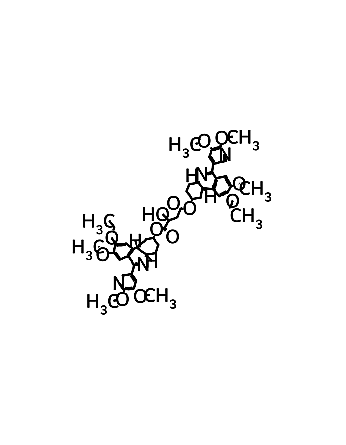 CCOc1cc2c(cc1OC)C(c1cnc(OC)c(OC)c1)=N[C@H]1CC[C@H](OC(=O)CC(O)C(=O)O[C@H]3CC[C@@H]4N=C(c5cnc(OC)c(OC)c5)c5cc(OC)c(OCC)cc5[C@@H]4C3)C[C@@H]21